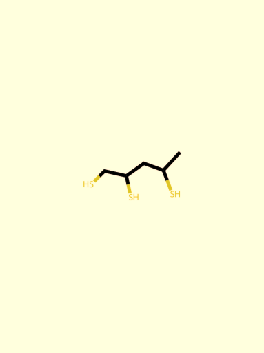 CC(S)CC(S)CS